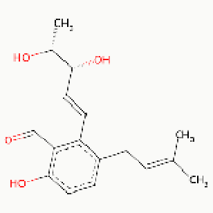 CC(C)=CCc1ccc(O)c(C=O)c1/C=C/[C@@H](O)[C@@H](C)O